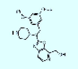 CC(C)Oc1cc(CN(c2nc3ccnc(CO)c3o2)C2CCNCC2)cc(OC(C)C)c1